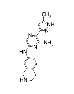 Cc1cc(-c2ncc(Nc3ccc4c(c3)CNCC4)nc2N)n[nH]1